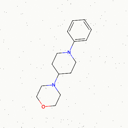 [c]1ccc(N2CCC(N3CCOCC3)CC2)cc1